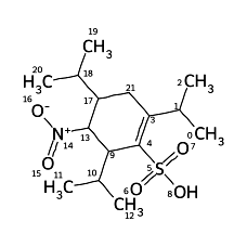 CC(C)C1=C(S(=O)(=O)O)C(C(C)C)C([N+](=O)[O-])C(C(C)C)C1